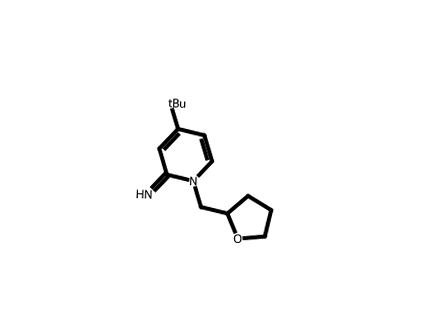 CC(C)(C)c1ccn(CC2CCCO2)c(=N)c1